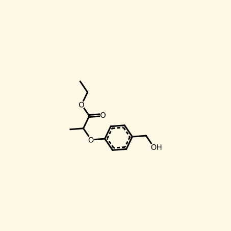 CCOC(=O)C(C)Oc1ccc(CO)cc1